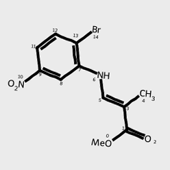 COC(=O)/C(C)=C/Nc1cc([N+](=O)[O-])ccc1Br